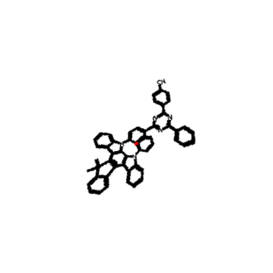 CC1(C)c2ccccc2-c2c1c1c3ccccc3n(-c3ccc(-c4nc(-c5ccccc5)nc(-c5ccc(C#N)cc5)n4)cc3)c1c1c2c2ccccc2n1-c1ccccc1